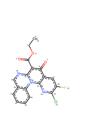 CCOC(=O)c1c(=O)c2cc(F)c(Cl)nc2n2c1ncc1ccccc12